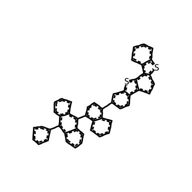 c1ccc(-c2c3ccccc3c(-c3ccc(-c4ccc5c(c4)sc4c5ccc5sc6ccccc6c54)c4ccccc34)c3ccccc23)cc1